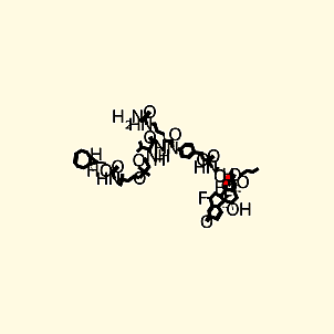 CCCC1O[C@@H]2CC3[C@@H]4C[C@H](F)C5=CC(=O)C=C[C@]5(C)[C@@]4(F)[C@@H](O)C[C@]3(C)[C@]2(C(=O)COCNC(=O)OCc2ccc(NC(=O)[C@H](CCCNC(N)=O)NC(=O)[C@@H](NC(=O)CC(C)(C)OCCC(C)(C)NC(=O)OC[C@@H]3[C@@H]4CC/C=C\CC[C@@H]43)C(C)C)cc2)O1